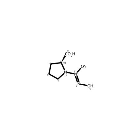 O=C(O)[C@@H]1CCCN1[N+]([O-])=NO